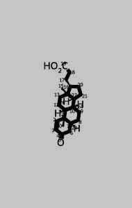 C[C@]12C=CC(=O)C[C@@H]1CC[C@@H]1[C@@H]2CC[C@]2(C)[C@@H](CCC(=O)O)CC[C@@H]12